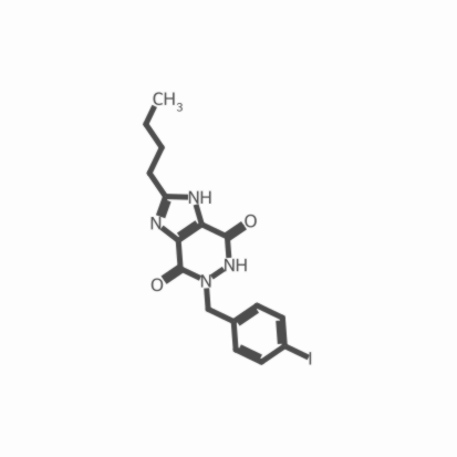 CCCCc1nc2c(=O)n(Cc3ccc(I)cc3)[nH]c(=O)c2[nH]1